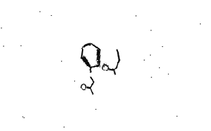 CCC(C)=O.CCC(C)=O.Cc1ccccc1